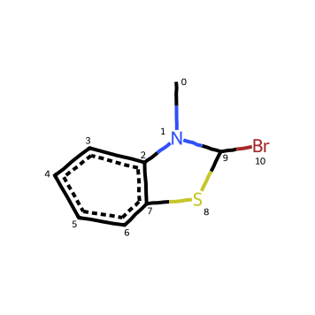 CN1c2ccccc2SC1Br